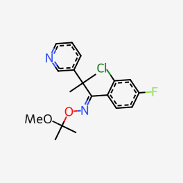 COC(C)(C)ON=C(c1ccc(F)cc1Cl)C(C)(C)c1cccnc1